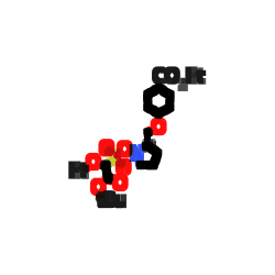 CCOC(=O)[C@H]1CC[C@H](OC[C@H]2CCCN2OS(=O)(=O)C(OCC)C(=O)OC(C)(C)C)CC1